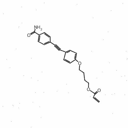 C=CC(=O)OCCCCOc1ccc(C#Cc2ccc(C(N)=O)cc2)cc1